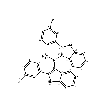 CN(c1c(-c2cccc(Br)c2)[nH]c2ccccc12)c1c(-c2cccc(Br)c2)[nH]c2ccccc12